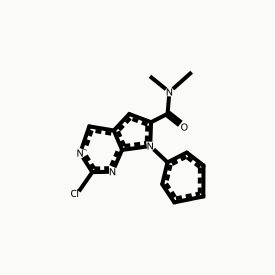 CN(C)C(=O)c1cc2cnc(Cl)nc2n1-c1ccccc1